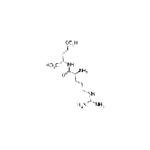 NC(N)NCCC[C@H](N)C(=O)NC(CCC(=O)O)C(=O)O